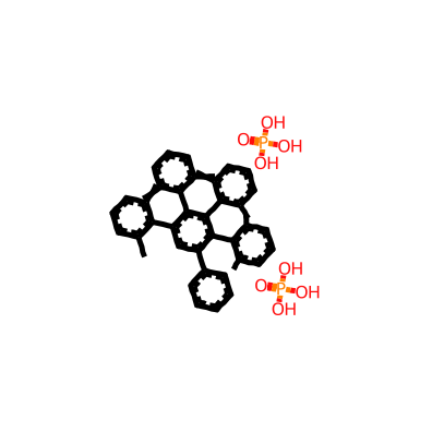 Cc1cccc(C)c1-c1cc(-c2ccccc2)c(-c2c(C)cccc2C)c(-c2c(C)cccc2C)c1-c1c(C)cccc1C.O=P(O)(O)O.O=P(O)(O)O